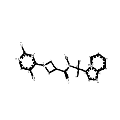 CCN(C(=O)C1CN(c2nc(Cl)ncc2Cl)C1)C(C)(C)c1cnc2ccccn12